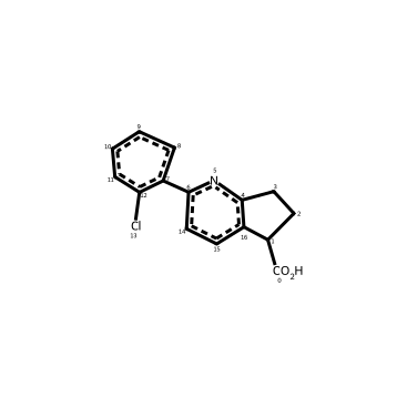 O=C(O)C1CCc2nc(-c3ccccc3Cl)ccc21